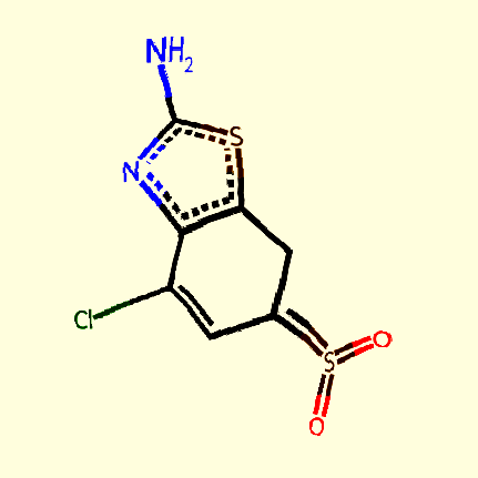 Nc1nc2c(s1)CC(=S(=O)=O)C=C2Cl